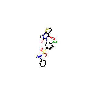 O=c1[nH]c2sccc2c(=O)n1-c1cc(S(=O)(=O)Nc2ccccc2)ccc1Cl